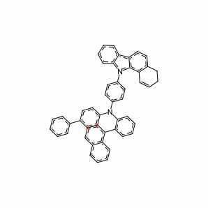 C1=Cc2c(ccc3c4ccccc4n(-c4ccc(N(c5ccc(-c6ccccc6)cc5)c5ccccc5-c5cccc6ccccc56)cc4)c23)CC1